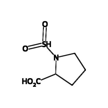 O=C(O)C1CCCN1[SH](=O)=O